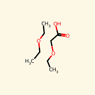 CCOCC.CCOCC(=O)O